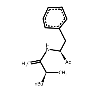 C=C(N[C@@H](Cc1ccccc1)C(C)=O)[C@@H](C)CCCC